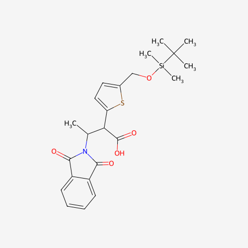 CC(C(C(=O)O)c1ccc(CO[Si](C)(C)C(C)(C)C)s1)N1C(=O)c2ccccc2C1=O